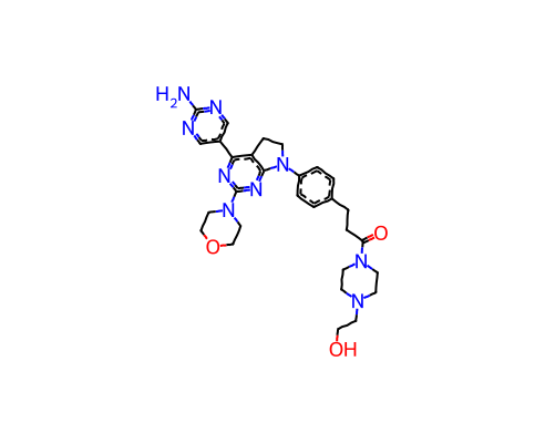 Nc1ncc(-c2nc(N3CCOCC3)nc3c2CCN3c2ccc(CCC(=O)N3CCN(CCO)CC3)cc2)cn1